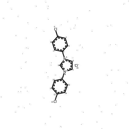 Clc1ccc(-n2cc[n+](-c3ccc(Cl)cc3)c2)cc1.[Cl-]